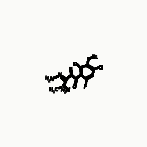 CCSc1c(Cl)cc(F)c(C(=O)N/C(=N/N)N(C)N)c1Cl